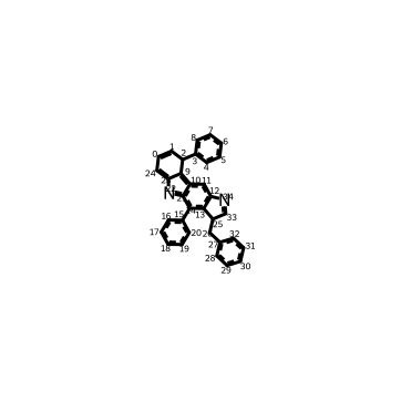 C1=CC(c2ccccc2)C2=c3cc4c(c(-c5ccccc5)c3=NC2=C1)C(Cc1ccccc1)C=N4